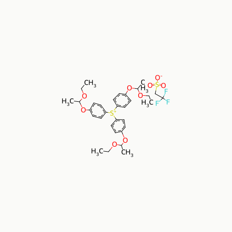 CCOC(C)Oc1ccc([S+](c2ccc(OC(C)OCC)cc2)c2ccc(OC(C)OCC)cc2)cc1.O=S(=O)([O-])CC(F)(F)F